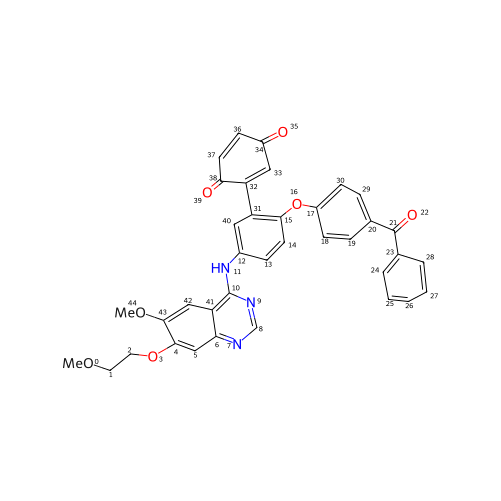 COCCOc1cc2ncnc(Nc3ccc(Oc4ccc(C(=O)c5ccccc5)cc4)c(C4=CC(=O)C=CC4=O)c3)c2cc1OC